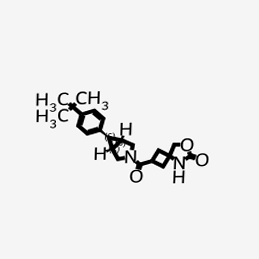 CC(C)(C)c1ccc([C@H]2[C@@H]3CN(C(=O)C4CC5(COC(=O)N5)C4)C[C@@H]32)cc1